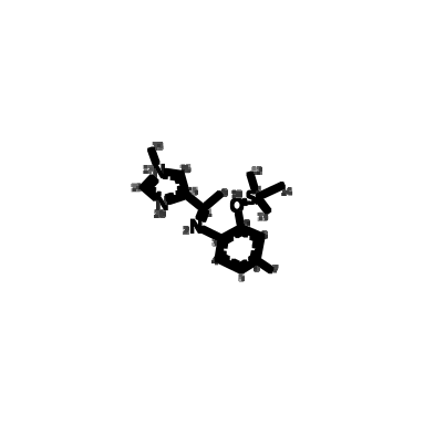 CC(=Nc1ccc(C)cc1O[Si](C)(C)C)c1cn(C)cn1